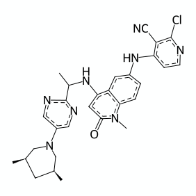 CC(Nc1cc(=O)n(C)c2ccc(Nc3ccnc(Cl)c3C#N)cc12)c1ncc(N2C[C@H](C)C[C@H](C)C2)cn1